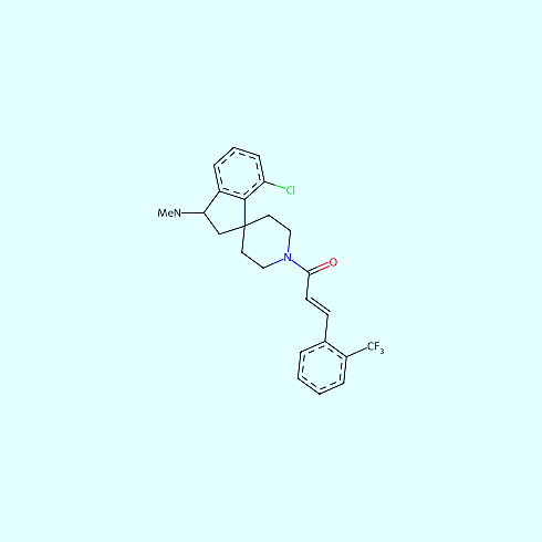 CNC1CC2(CCN(C(=O)/C=C/c3ccccc3C(F)(F)F)CC2)c2c(Cl)cccc21